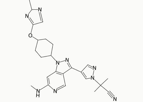 CNc1cc2c(cn1)c(-c1cnn(C(C)(C)C#N)c1)nn2C1CCC(OC2=NC(C)N=C2)CC1